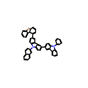 C1=CC2Sc3ccccc3C2C(c2ccc3c(c2)c2cc(-c4ccc5c(c4)c4ccccc4n5-c4ccccc4)ccc2n3-c2ccc3ccccc3c2)=C1